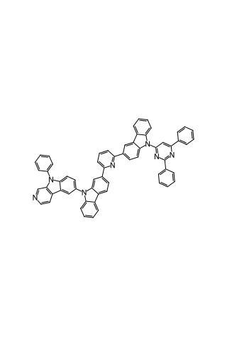 c1ccc(-c2cc(-n3c4ccccc4c4cc(-c5cccc(-c6ccc7c8ccccc8n(-c8ccc9c(c8)c8ccncc8n9-c8ccccc8)c7c6)n5)ccc43)nc(-c3ccccc3)n2)cc1